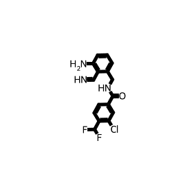 N=Cc1c(N)cccc1CNC(=O)c1ccc(C(F)F)c(Cl)c1